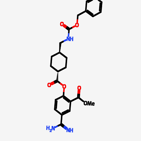 COC(=O)c1cc(C(=N)N)ccc1OC(=O)[C@H]1CC[C@H](CNC(=O)OCc2ccccc2)CC1